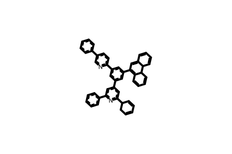 C1=CCC(c2cc(-c3cc(C4=C5C=CC=CC5C5C=CC=CC5=C4)cc(-c4ccc(-c5ccccc5)cn4)c3)cc(-c3ccccc3)n2)C=C1